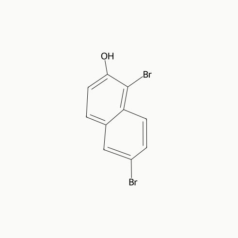 Oc1ccc2cc(Br)ccc2c1Br